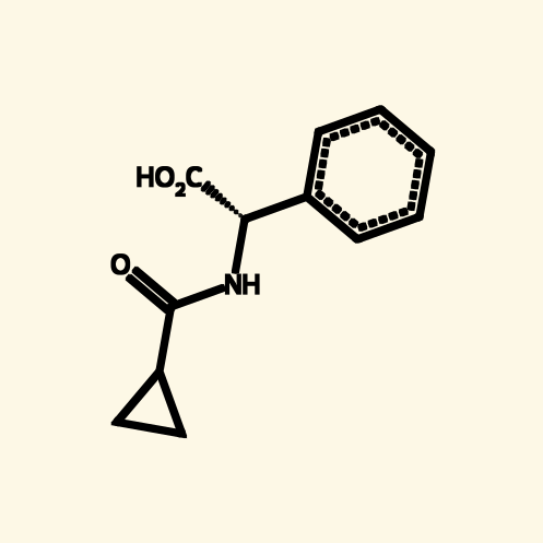 O=C(N[C@H](C(=O)O)c1ccccc1)C1CC1